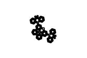 CC1(C)c2ccccc2N(c2ccc3c(c2)Oc2cc(N4c5ccccc5C(C)(C)c5ccccc54)ccc2[Si]3(c2ccccc2)c2ccccc2)c2ccccc21